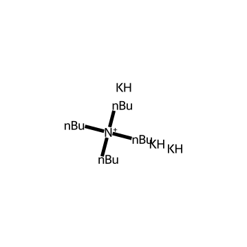 CCCC[N+](CCCC)(CCCC)CCCC.[KH].[KH].[KH]